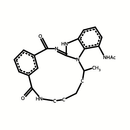 CC(=O)Nc1cccc2c1N1/C(=N/C(=O)c3cccc(c3)C(=O)NCCCCC1C)N2